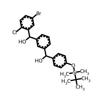 CC(C)(C)[Si](C)(C)Oc1ccc(C(O)c2cccc(C(O)c3cc(Br)ccc3Cl)c2)cc1